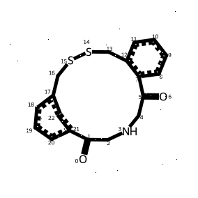 O=C1CNCC(=O)c2ccccc2CSSCc2cccc1c2